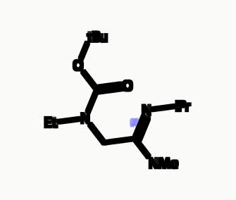 CCN(C/C(=N/C(C)C)NC)C(=O)OC(C)(C)C